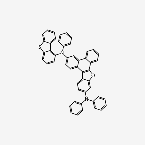 c1ccc(N(c2ccccc2)c2ccc3c(c2)oc2c4ccccc4c4cc(N(c5ccccc5)c5cccc6sc7ccccc7c56)ccc4c32)cc1